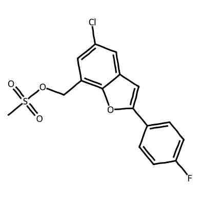 CS(=O)(=O)OCc1cc(Cl)cc2cc(-c3ccc(F)cc3)oc12